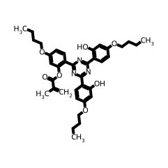 C=C(C)C(=O)Oc1cc(OCCCC)ccc1-c1nc(-c2ccc(OCCCC)cc2O)nc(-c2ccc(OCCCC)cc2O)n1